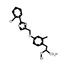 CCOC(Cc1ccc(OCc2csc(-c3ccccc3Cl)n2)cc1C)C(=O)O